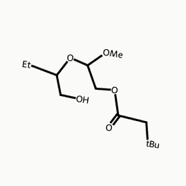 CCC(CO)OC(COC(=O)CC(C)(C)C)OC